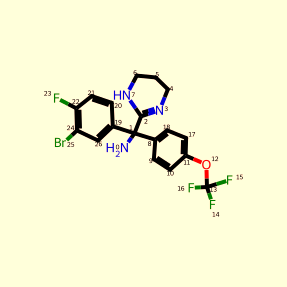 NC(C1=NCCCN1)(c1ccc(OC(F)(F)F)cc1)c1ccc(F)c(Br)c1